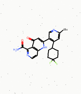 CC(C)(C)c1cc(C2CCC(F)(F)CC2)c(-c2cc(=O)c3c(C(N)=O)nccc3[nH]2)cn1